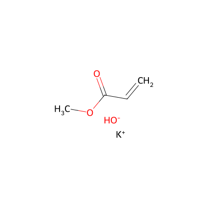 C=CC(=O)OC.[K+].[OH-]